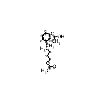 CC(C)O.CCCCOC(C)=O.Cc1ccccc1